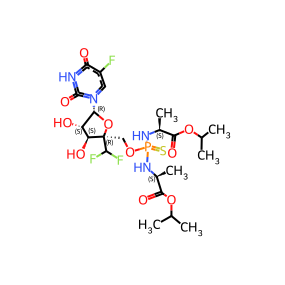 CC(C)OC(=O)[C@H](C)NP(=S)(N[C@@H](C)C(=O)OC(C)C)OC[C@@]1(C(F)F)O[C@@H](n2cc(F)c(=O)[nH]c2=O)[C@@H](O)[C@@H]1O